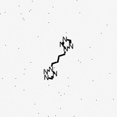 c1nnn(CCCCn2ncnn2)n1